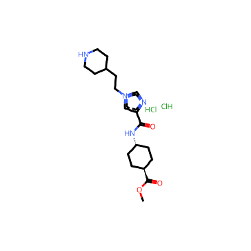 COC(=O)[C@H]1CC[C@H](NC(=O)c2cn(CCC3CCNCC3)cn2)CC1.Cl.Cl